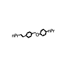 CCC/C=C/c1ccc(COc2ccc(CCC)cc2)cc1